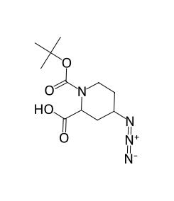 CC(C)(C)OC(=O)N1CCC(N=[N+]=[N-])CC1C(=O)O